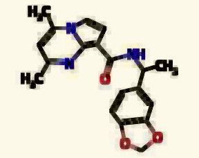 Cc1cc(C)n2ccc(C(=O)NC(C)c3ccc4c(c3)OCO4)c2n1